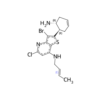 C/C=C/CNc1cc(Cl)nc2c(Br)c([C@@H]3CC=CC[C@H]3N)sc12